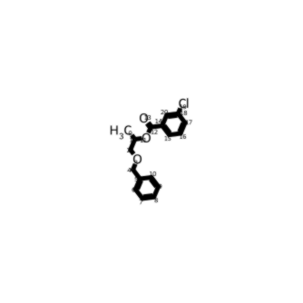 CC(COCc1ccccc1)OC(=O)c1cccc(Cl)c1